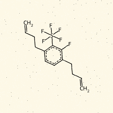 C=CCCc1ccc(CCC=C)c(S(F)(F)(F)(F)F)c1F